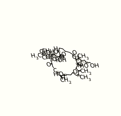 C=C1C2C[C@@H]3O[C@H](C[C@H](O)CO)[C@H](C)[C@H]3CC(=O)CC3CC[C@@H]4O[C@@H]5[C@@H](OC(CC(=O)CC[C@H]6CC(=C)[C@H](CCC(C[C@H]1C)O2)O6)[C@@H]5O[Si](C)(C)C(C)(C)C)[C@@H](O)[C@H]4O3